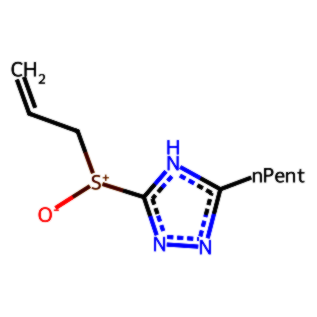 C=CC[S+]([O-])c1nnc(CCCCC)[nH]1